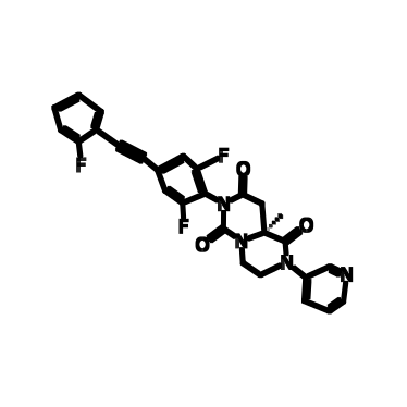 C[C@@]12CC(=O)N(c3c(F)cc(C#Cc4ccccc4F)cc3F)C(=O)N1CCN(c1cccnc1)C2=O